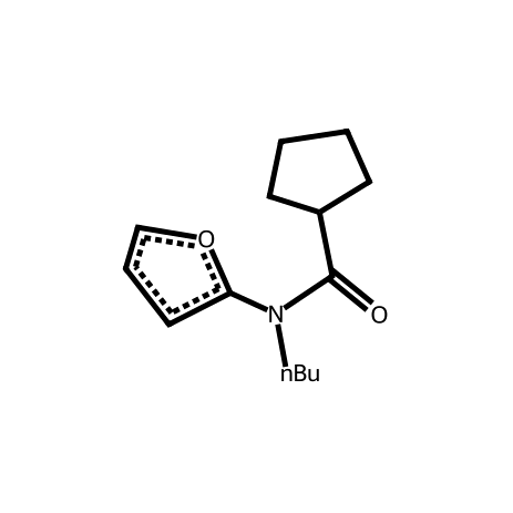 CCCCN(C(=O)C1CCCC1)c1ccco1